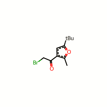 Cc1oc(C(C)(C)C)cc1C(=O)CBr